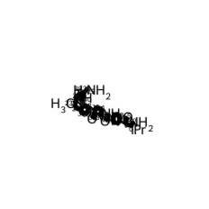 CC(C)C(N)CC(=O)N1CCN(C(=O)Nc2ccn(-c3ccc(CC(C)N4C[C@@H]5C(CN)[C@@H]5C4)cc3)c(=O)n2)CC1